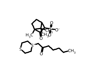 CC12CCC(C(S(=O)(=O)[O-])C1=O)C2(C)C.CCCCCC(=O)C[S+]1CCSCC1